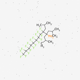 CC(C)CC(P)(CC(C)C)C(F)(CC(C)C)C(F)(F)C(F)(F)C(F)(F)C(F)(F)C(F)(F)C(F)(F)C(F)(F)C(F)(F)F